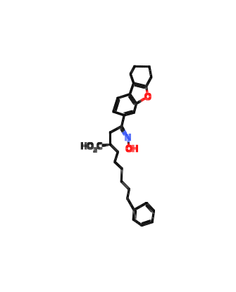 O=C(O)[C@H](CCCCCCc1ccccc1)CC(=NO)c1ccc2c3c(oc2c1)CCCC3